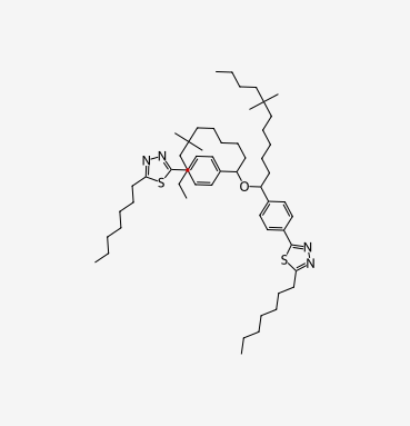 CCCCCCCc1nnc(-c2ccc(C(CCCCCC(C)(C)CCCC)OC(CCCCCC(C)(C)CCCC)c3ccc(-c4nnc(CCCCCCC)s4)cc3)cc2)s1